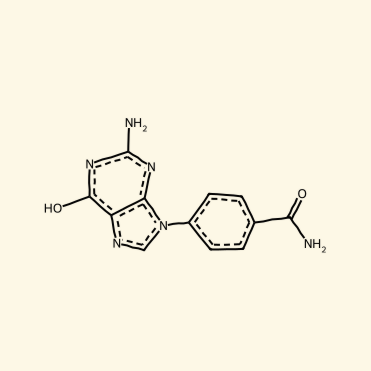 NC(=O)c1ccc(-n2cnc3c(O)nc(N)nc32)cc1